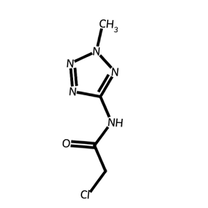 Cn1nnc(NC(=O)CCl)n1